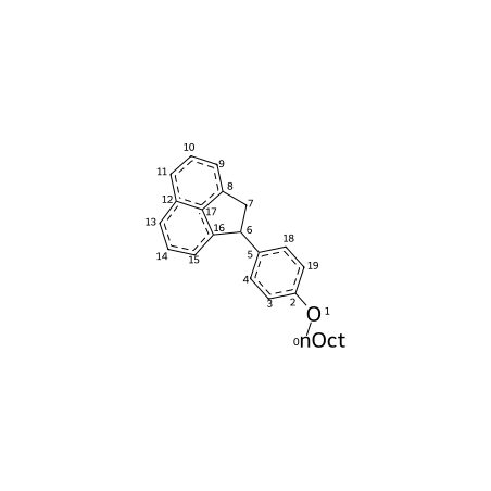 CCCCCCCCOc1ccc(C2Cc3cccc4cccc2c34)cc1